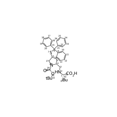 CCC(C)[C@H](NCC1CC(SC(c2ccccc2)(c2ccccc2)c2ccccc2)CN1C(=O)OC(C)(C)C)C(=O)O